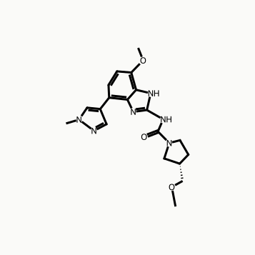 COC[C@H]1CCN(C(=O)Nc2nc3c(-c4cnn(C)c4)ccc(OC)c3[nH]2)C1